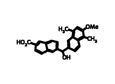 COc1cc(C)c2cc(C(O)c3ccc4cc(C(=O)O)ccc4c3)ccc2c1C